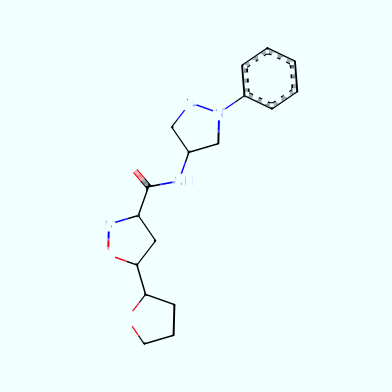 O=C(NC1CNN(c2ccccc2)C1)C1CC(C2CCCO2)ON1